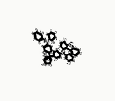 c1ccc(N(c2ccccc2)c2ccc(C3(c4ccc(N(c5ccccc5)c5cccc6sc7ccccc7c56)cc4)CC4CCC3C4)cc2)cc1